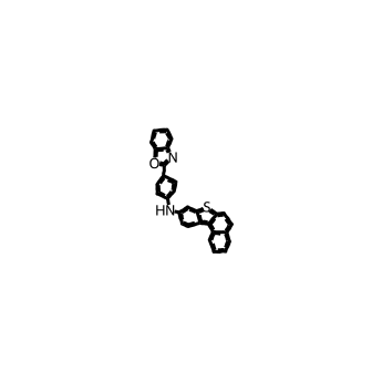 c1ccc2c(c1)ccc1sc3cc(Nc4ccc(-c5nc6ccccc6o5)cc4)ccc3c12